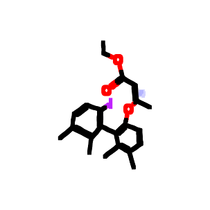 CCOC(=O)/C=C(/C)Oc1ccc(C)c(C)c1-c1c(I)ccc(C)c1C